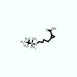 CC(C)(C)[Si](C)(C)OCCCCC1CC1C(=O)O